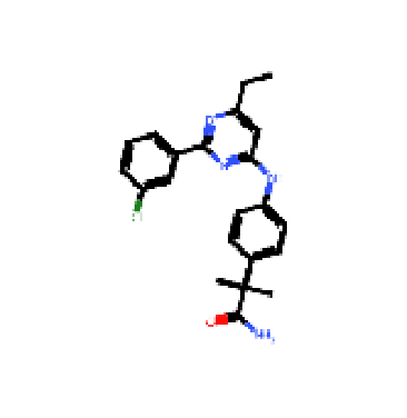 CCc1cc(Nc2ccc(C(C)(C)C(N)=O)cc2)nc(-c2cccc(Cl)c2)n1